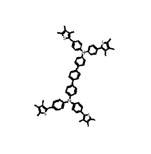 Cc1sc(-c2ccc(N(c3ccc(-c4ccc(-c5ccc(N(c6ccc(-c7sc(C)c(C)c7C)cc6)c6ccc(-c7sc(C)c(C)c7C)cc6)cc5)cc4)cc3)c3ccc(-c4sc(C)c(C)c4C)cc3)cc2)c(C)c1C